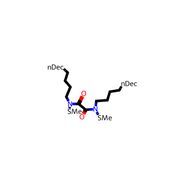 CCCCCCCCCCCCCCN(SC)C(=O)C(=O)N(CCCCCCCCCCCCCC)SC